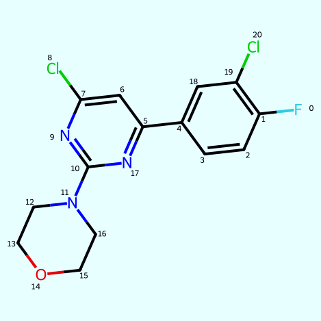 Fc1ccc(-c2cc(Cl)nc(N3CCOCC3)n2)cc1Cl